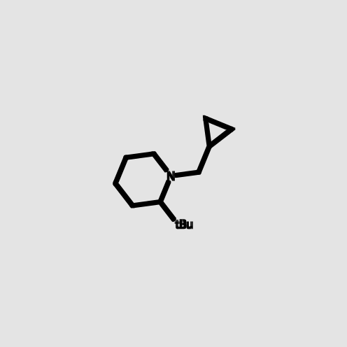 CC(C)(C)C1CCCCN1CC1CC1